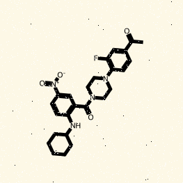 CC(=O)c1ccc(N2CCN(C(=O)c3cc([N+](=O)[O-])ccc3NC3CCCCC3)CC2)c(F)c1